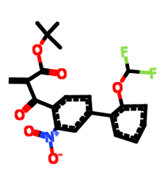 C=C(C(=O)OC(C)(C)C)C(=O)c1ccc(-c2ccccc2OC(F)F)cc1[N+](=O)[O-]